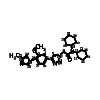 COc1cc(-c2cn(CC(=O)N(C3CCCCC3)C3CCCCC3)nn2)ccc1-n1cnc(C)c1